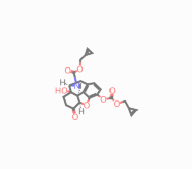 O=C(OCC1C=C1)Oc1ccc2c3c1O[C@H]1C(=O)CCC4(O)[C@@H](C2)N(C(=O)OCC2=CC2)CC[C@]314